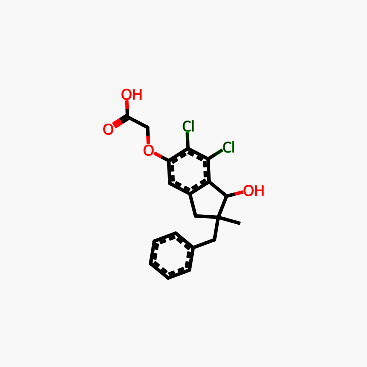 CC1(Cc2ccccc2)Cc2cc(OCC(=O)O)c(Cl)c(Cl)c2C1O